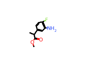 COC(=O)C(C)c1ccc(F)c(N)c1